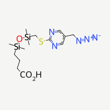 C[Si](C)(CCCC(=O)O)O[Si](C)(C)CSc1ncc(CN=[N+]=[N-])cn1